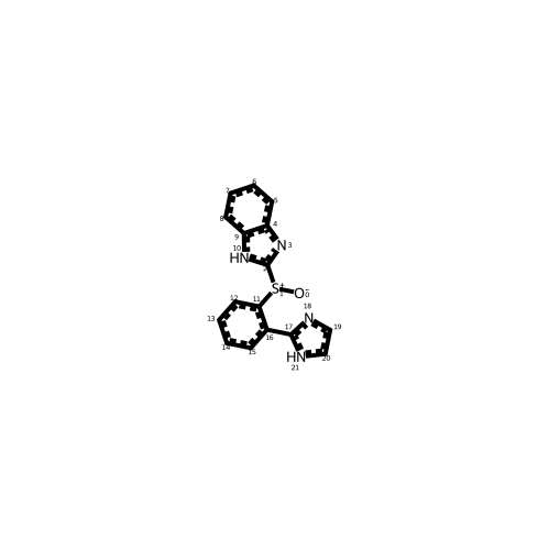 [O-][S+](c1nc2ccccc2[nH]1)c1ccccc1-c1ncc[nH]1